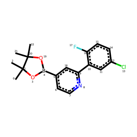 CC1(C)OB(c2ccnc(-c3cc(Cl)ccc3F)c2)OC1(C)C